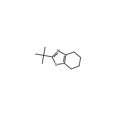 CC(C)(C)c1nc2c(s1)CCCC2